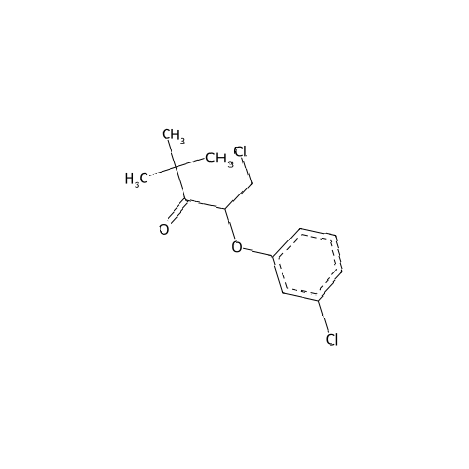 CC(C)(C)C(=O)C(CCl)Oc1cccc(Cl)c1